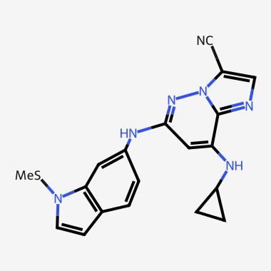 CSn1ccc2ccc(Nc3cc(NC4CC4)c4ncc(C#N)n4n3)cc21